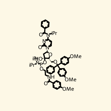 COc1ccc(C(=O)NCCOP(O[C@@]2(O)C[C@H](n3ccc(N(C(=O)c4ccccc4)C(C)C)nc3=O)O[C@@H]2COC(c2ccccc2)(c2ccc(OC)cc2)c2ccc(OC)cc2)N(C(C)C)C(C)C)cc1